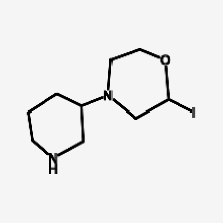 IC1CN(C2CCCNC2)CCO1